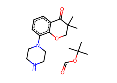 CC(C)(C)OC=O.CC1(C)COc2c(cccc2N2CCNCC2)C1=O